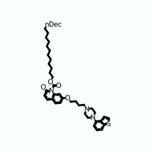 CCCCCCCCCCCCCCCCCCCCCCOC(=O)n1c(=O)ccc2ccc(OCCCCN3CCN(c4cccc5sccc45)CC3)cc21